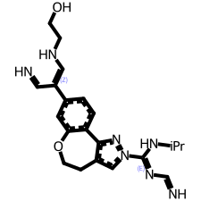 CC(C)N/C(=N\C=N)n1cc2c(n1)-c1ccc(/C(C=N)=C/NCCO)cc1OCC2